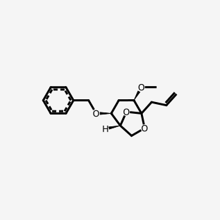 C=CCC12OC[C@@H](O1)[C@@H](OCc1ccccc1)C[C@H]2OC